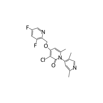 Cc1cc(-n2c(C)cc(OCc3ncc(F)cc3F)c(Cl)c2=O)c(C)cn1